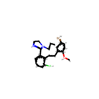 CCCN1CCN=C1c1cccc(Cl)c1CCc1cc(Br)ccc1OC